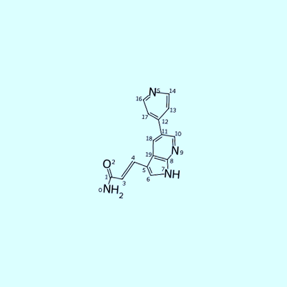 NC(=O)/C=C/c1c[nH]c2ncc(-c3ccncc3)cc12